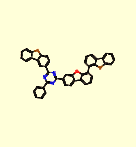 c1ccc(-c2nc(-c3ccc4c(c3)oc3c(-c5cccc6c5sc5ccccc56)cccc34)nc(-c3ccc4sc5ccccc5c4c3)n2)cc1